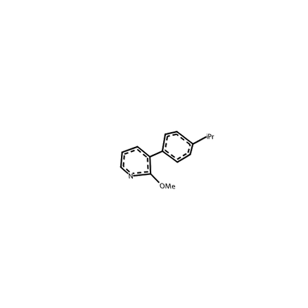 COc1ncccc1-c1ccc(C(C)C)cc1